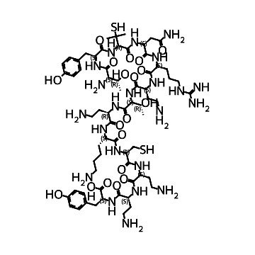 C[C@@H](O)[C@H](N)C(=O)N[C@@H](Cc1ccc(O)cc1)C(=O)N[C@H](C(=O)N[C@@H](CC(N)=O)C(=O)N[C@@H](CCCNC(=N)N)C(=O)N[C@@H](CCN)C(=O)N[C@H](C(=O)N[C@H](CCN)C(=O)N[C@@H](CCCCN)C(=O)N[C@@H](CS)C(=O)N[C@@H](CCN)C(=O)N[C@@H](CCN)C(=O)N[C@@H](Cc1ccc(O)cc1)C(=O)O)[C@@H](C)O)C(C)(C)S